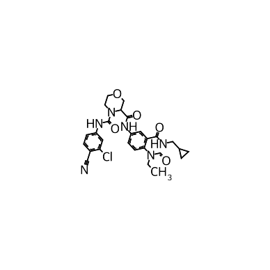 CCN(C=O)c1ccc(NC(=O)C2COCCN2C(=O)Nc2ccc(C#N)c(Cl)c2)cc1C(=O)NCC1CC1